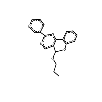 CCCOC1Oc2ccccc2-c2nc(-c3cccnc3)ncc21